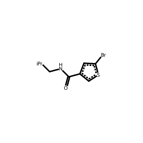 CC(C)CNC(=O)c1csc(Br)c1